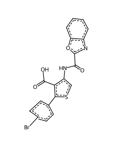 O=C(Nc1csc(-c2ccc(Br)cc2)c1C(=O)O)c1nc2ccccc2o1